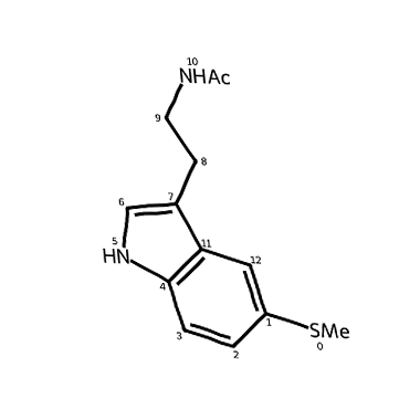 CSc1ccc2[nH]cc(CCNC(C)=O)c2c1